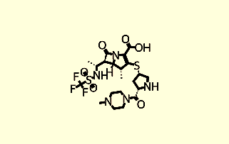 C[C@@H](NS(=O)(=O)C(F)(F)F)[C@H]1C(=O)N2C(C(=O)O)=C(S[C@@H]3CN[C@H](C(=O)N4CCN(C)CC4)C3)[C@H](C)[C@H]12